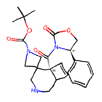 CC(C)(C)OC(=O)N1CC2(CNCC3C=C[C@@]32C(=O)N2C(=O)OC[C@H]2c2ccccc2)C1